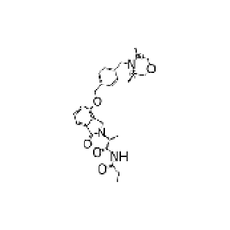 CCC(=O)NC(=O)C(C)N1Cc2c(OCc3ccc(CN4[C@H](C)COC[C@@H]4C)cc3)cccc2C1=O